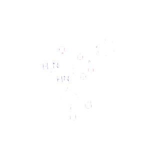 NC(=O)C(OC(=O)c1ccccc1)C(=O)Nc1ccc(Cl)c(Cl)c1